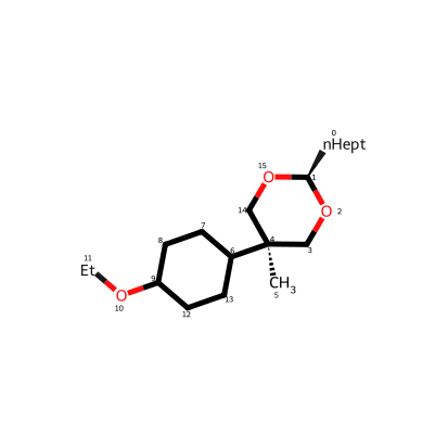 CCCCCCC[C@H]1OC[C@@](C)(C2CCC(OCC)CC2)CO1